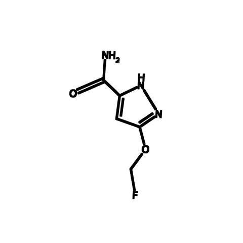 NC(=O)c1cc(OCF)n[nH]1